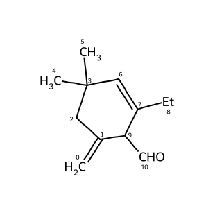 C=C1CC(C)(C)C=C(CC)C1C=O